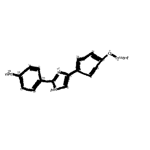 CCCCCCCOc1ccc(-c2c[nH]c(-c3ccc(CCC)cc3)n2)cc1